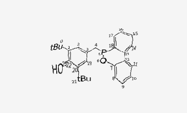 CC(C)(C)c1cc(CP2Oc3ccccc3-c3ccccc32)cc(C(C)(C)C)c1O